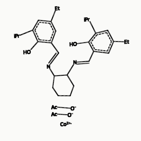 CC(=O)[O-].CC(=O)[O-].CCc1cc(C=NC2CCCCC2N=Cc2cc(CC)cc(C(C)C)c2O)c(O)c(C(C)C)c1.[Co+2]